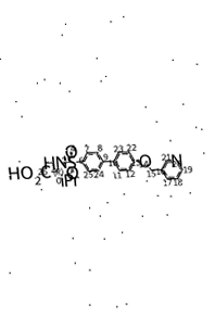 CC(C)[C@@H](NS(=O)(=O)c1ccc(-c2ccc(OCc3cccnc3)cc2)cc1)C(=O)O